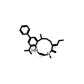 C=C1/C(=C/CC)CCC(C)c2cc(-c3ccccc3)cc(C(C)C)c2N/C=C\N1C